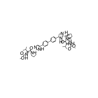 COC(=O)N[C@H](C(=O)N1CCC[C@H]1c1ncc(-c2ccc(-c3ccc(C4CN=C([C@@H]5[C@H]6CC[C@H](C6)N5C(=O)[C@@H](NC(=O)OC)C(C)C)N4)cc3)cc2)[nH]1)C(C)C